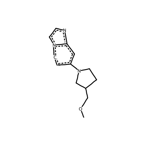 COCC1CCN(c2ccn3ccnc3c2)C1